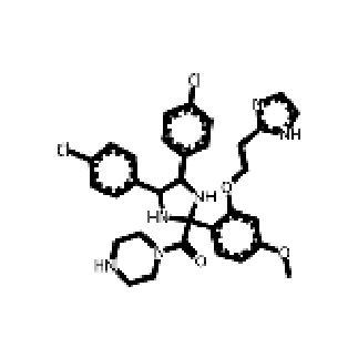 COc1ccc(C2(C(=O)N3CCNCC3)NC(c3ccc(Cl)cc3)C(c3ccc(Cl)cc3)N2)c(OCCc2ncc[nH]2)c1